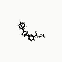 COC(=O)c1cccc(-c2noc(C34CCC(I)(CC3)CC4)n2)n1